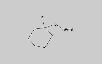 CCCCCSC1([S])CCCCC1